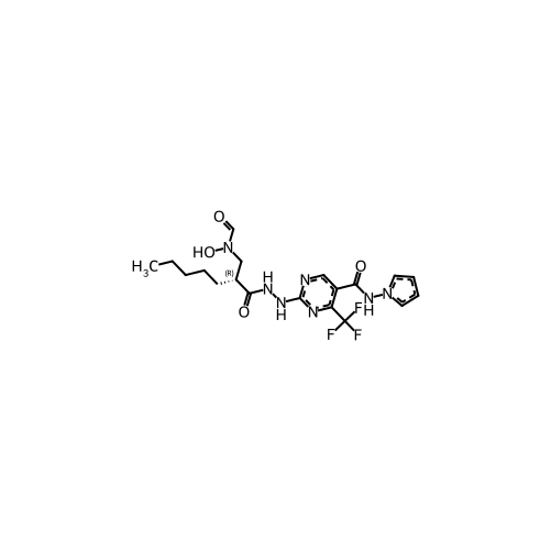 CCCCC[C@H](CN(O)C=O)C(=O)NNc1ncc(C(=O)Nn2cccc2)c(C(F)(F)F)n1